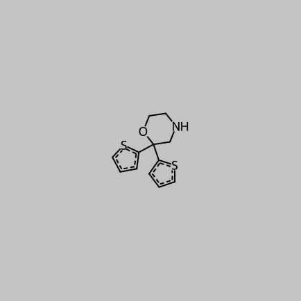 c1csc(C2(c3cccs3)CNCCO2)c1